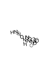 CC1=Cc2cnc(Nc3ccc(N4CCNCC4)cc3)nc2N(C2CCCC2)S1(=O)=O